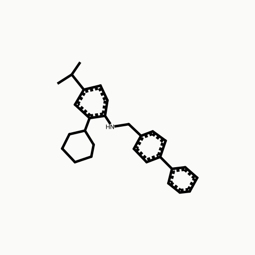 CC(C)c1ccc(NCc2ccc(-c3ccccc3)cc2)c(C2CCCCC2)c1